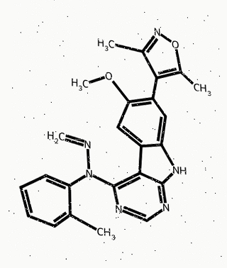 C=NN(c1ccccc1C)c1ncnc2[nH]c3cc(-c4c(C)noc4C)c(OC)cc3c12